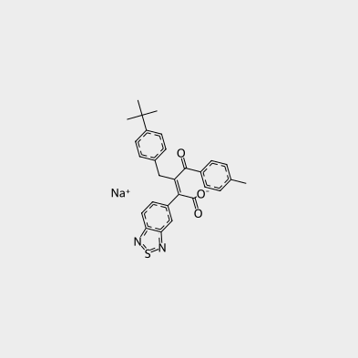 Cc1ccc(C(=O)C(Cc2ccc(C(C)(C)C)cc2)=C(C(=O)[O-])c2ccc3nsnc3c2)cc1.[Na+]